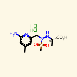 Cc1cc(N)nc(CN(N[C@@H](C)C(=O)O)S(C)(=O)=O)c1.Cl.Cl